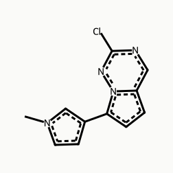 Cn1ccc(-c2ccc3cnc(Cl)nn23)c1